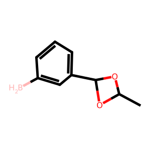 Bc1cccc(C2OC(C)O2)c1